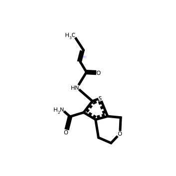 C/C=C/C(=O)Nc1sc2c(c1C(N)=O)CCOC2